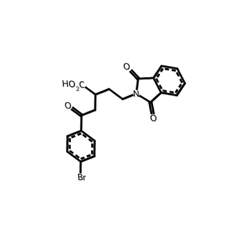 O=C(CC(CCN1C(=O)c2ccccc2C1=O)C(=O)O)c1ccc(Br)cc1